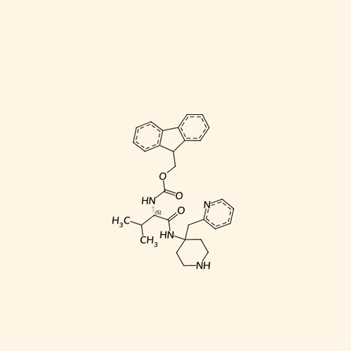 CC(C)[C@H](NC(=O)OCC1c2ccccc2-c2ccccc21)C(=O)NC1(Cc2ccccn2)CCNCC1